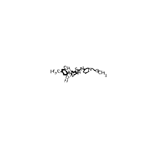 COCCN1CCC/C(=N\c2nc3nn(-c4c(C)cc(C)cc4O)cc3s2)C1